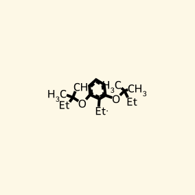 C[CH]c1c(OC(C)(C)CC)cccc1OC(C)(C)CC